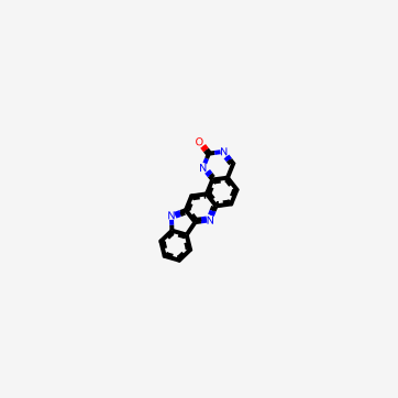 O=C1N=Cc2ccc3nc4c(cc3c2=N1)=Nc1ccccc1-4